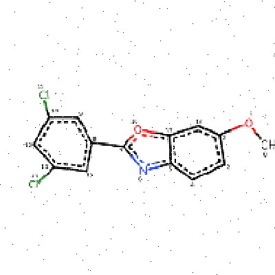 O=COc1ccc2nc(-c3cc(Cl)cc(Cl)c3)oc2c1